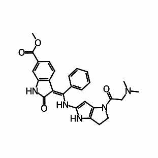 COC(=O)c1ccc2c(c1)NC(=O)/C2=C(\Nc1cc2c([nH]1)CCN2C(=O)CN(C)C)c1ccccc1